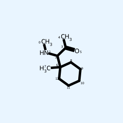 CNC(C(C)=O)C1(C)CCCCC1